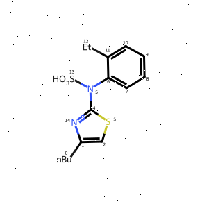 CCCCc1csc(N(c2ccccc2CC)S(=O)(=O)O)n1